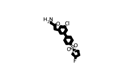 NCc1cc2cc(-c3ccc(S(=O)(=O)N4CCC(F)C4)cc3)cc(Cl)c2o1